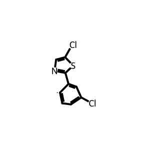 Clc1cc[c]c(-c2ncc(Cl)s2)c1